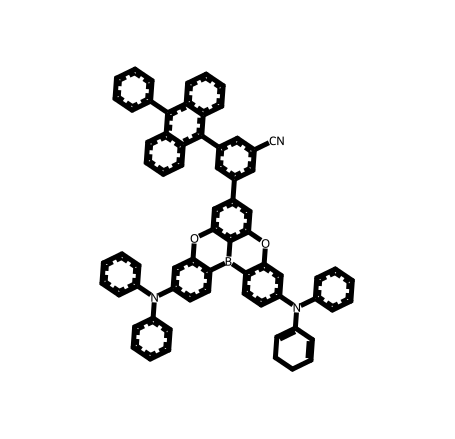 N#Cc1cc(-c2cc3c4c(c2)Oc2cc(N(c5ccccc5)c5ccccc5)ccc2B4c2ccc(N(C4=CCCC=C4)c4ccccc4)cc2O3)cc(-c2c3ccccc3c(-c3ccccc3)c3ccccc23)c1